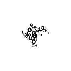 C=C(C(=O)O)c1ccc([N+](=O)[O-])cc1.CC(C)CCCC(C)[C@H]1CC[C@H]2[C@@H]3CC=C4C[C@@H](O)CC[C@]4(C)[C@H]3CC[C@]12C